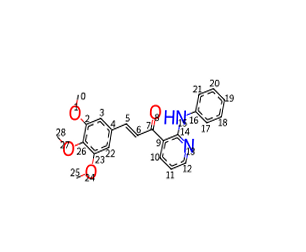 COc1cc(C=CC(=O)c2cccnc2Nc2ccccc2)cc(OC)c1OC